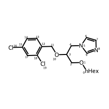 CCCCCCOCC(Cn1ccnc1)OCc1ccc(Cl)cc1Cl